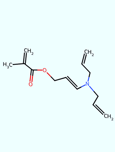 C=CCN(C=CCOC(=O)C(=C)C)CC=C